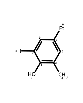 CCc1cc(C)c(O)c(I)c1